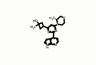 C[C@@H]1COCCN1c1cc(C2CC(C)(O)C2)nc(-c2ccnc3[nH]ccc23)n1